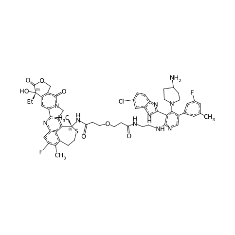 CC[C@@]1(O)C(=O)OCc2c1cc1n(c2=O)Cc2c-1nc1cc(F)c(C)c3c1c2[C@](C)(NC(=O)CCOCCC(=O)NCCNc1ncc(-c2cc(C)cc(F)c2)c(N2CCC(N)CC2)c1-c1nc2ccc(Cl)cc2[nH]1)SCC3